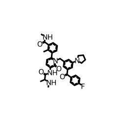 CNC(=O)c1cccc(-c2ccc(NC(=O)C(C)NC)c(=O)n2Cc2cc(C(=O)c3ccc(F)cc3)cc(N3CCCC3)c2)c1C